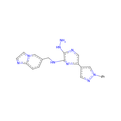 CC(C)n1cc(-c2cnc(NN)c(NCc3ccc4nccn4c3)n2)cn1